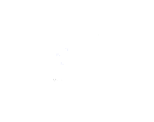 COc1ccccc1-c1n[nH]nc1-c1cccc(Cl)c1